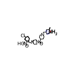 C=C(N)/C=C(\C=C/N)CN1CCC(C(=O)N2CCN(Cc3ccc(Cl)cc3[N+](=O)O)CC2)CC1